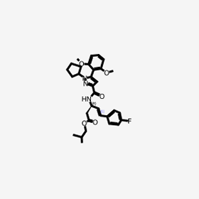 COc1cccc(OC)c1-c1cc(C(=O)N[C@@H](/C=C/c2ccc(F)cc2)CC(=O)OCC(C)C)nn1C1CCCC1